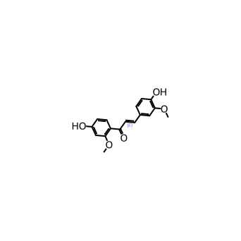 COc1cc(/C=C/C(=O)c2ccc(O)cc2OC)ccc1O